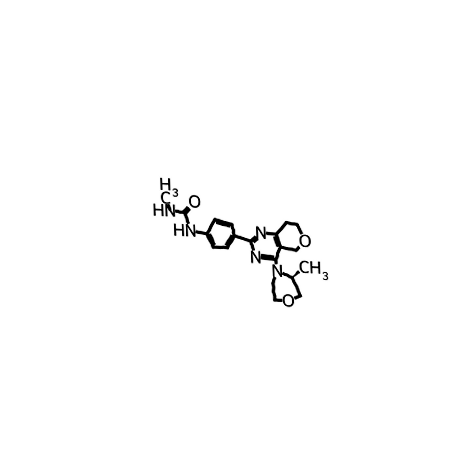 CNC(=O)Nc1ccc(-c2nc3c(c(N4CCOC[C@@H]4C)n2)COCC3)cc1